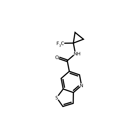 O=C(NC1(C(F)(F)F)CC1)c1cnc2ccsc2c1